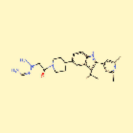 Cc1cc(-c2[nH]c3ccc(C4CCN(C(=O)CN(N)/N=C\N)CC4)cc3c2C(C)C)cc(C)n1